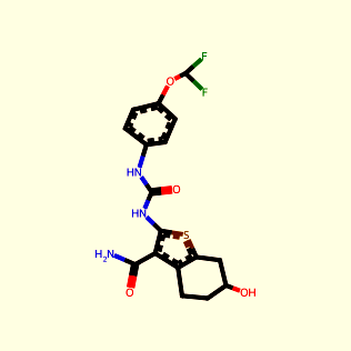 NC(=O)c1c(NC(=O)Nc2ccc(OC(F)F)cc2)sc2c1CCC(O)C2